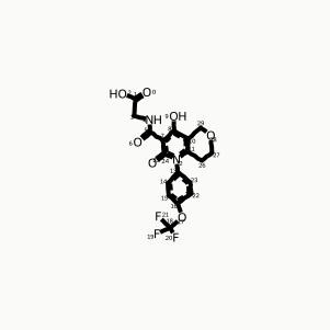 O=C(O)CNC(=O)c1c(O)c2c(n(-c3ccc(OC(F)(F)F)cc3)c1=O)CCOC2